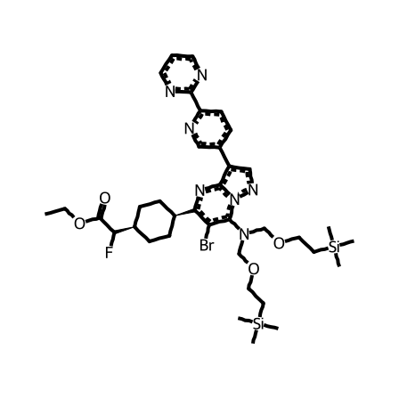 CCOC(=O)C(F)[C@H]1CC[C@@H](c2nc3c(-c4ccc(-c5ncccn5)nc4)cnn3c(N(COCC[Si](C)(C)C)COCC[Si](C)(C)C)c2Br)CC1